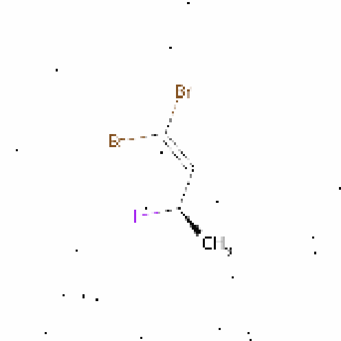 C[C@@H](I)C=C(Br)Br